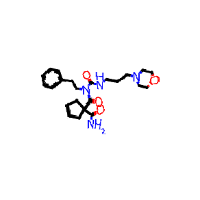 NC(=O)C1(C(=O)N(CCc2ccccc2)C(=O)NCCCN2CCOCC2)CCCC1